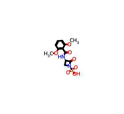 COc1cccc(OC)c1C(=O)N[C@H]1CN(S(=O)(=O)O)C1=O